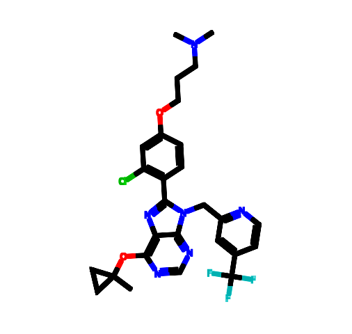 CN(C)CCCOc1ccc(-c2nc3c(OC4(C)CC4)ncnc3n2Cc2cc(C(F)(F)F)ccn2)c(Cl)c1